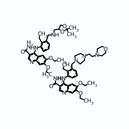 CCOc1cc2ncc(C(N)=O)c(Nc3cccc(CN4CCN(CCN5CCOCC5)CC4)c3CC)c2cc1OCC.CCOc1cc2ncc(C(N)=O)c(Nc3cccc(CNCC4COC(C)(C)O4)c3CC)c2cc1OCC